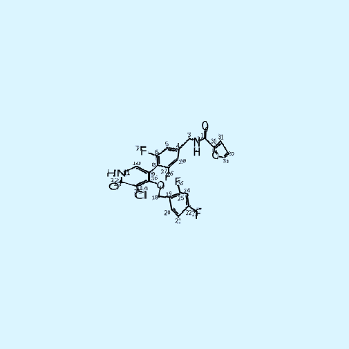 O=C(NCc1cc(F)c(-c2c[nH]c(=O)c(Cl)c2OCc2ccc(F)cc2F)c(F)c1)c1ccco1